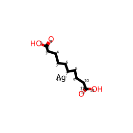 O=C(O)CCCCCCCCC(=O)O.[Ag]